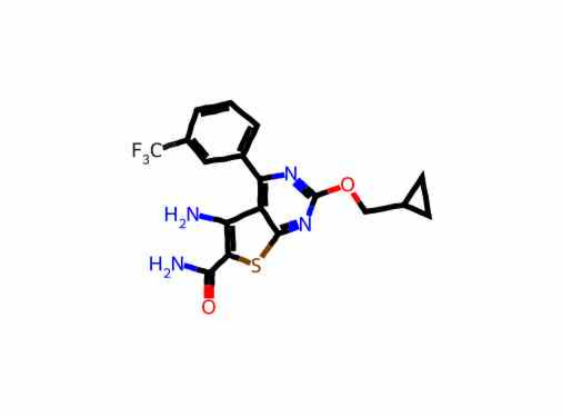 NC(=O)c1sc2nc(OCC3CC3)nc(-c3cccc(C(F)(F)F)c3)c2c1N